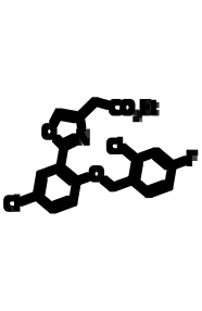 CCOC(=O)Cc1coc(-c2cc(Cl)ccc2OCc2ccc(F)cc2Cl)n1